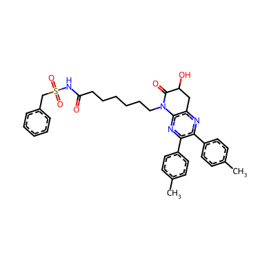 Cc1ccc(-c2nc3c(nc2-c2ccc(C)cc2)N(CCCCCCC(=O)NS(=O)(=O)Cc2ccccc2)C(=O)C(O)C3)cc1